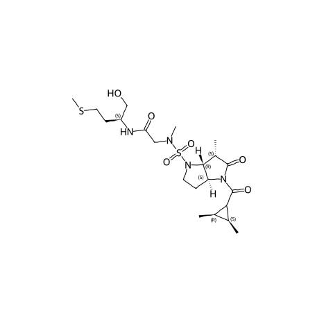 CSCC[C@@H](CO)NC(=O)CN(C)S(=O)(=O)N1CC[C@H]2[C@H]1[C@H](C)C(=O)N2C(=O)C1[C@@H](C)[C@H]1C